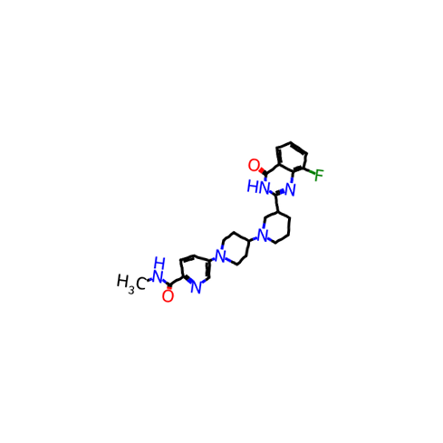 CNC(=O)c1ccc(N2CCC(N3CCCC(c4nc5c(F)cccc5c(=O)[nH]4)C3)CC2)cn1